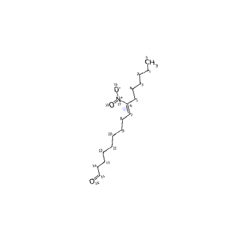 CCCCCC/C(=C/CCCCCCCC=O)[N+](=O)[O-]